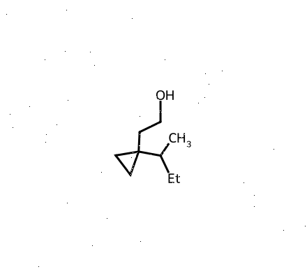 CCC(C)C1(CCO)CC1